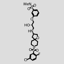 CNS(=O)(=O)c1cccc(OC[C@@H](O)CNC2COC3(CCN(S(=O)(=O)c4cc(Cl)ccc4F)CC3)C2)c1